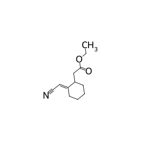 CCOC(=O)CC1CCCCC1=CC#N